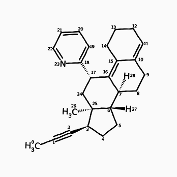 CC#C[C@@H]1CC[C@H]2[C@@H]3CCC4=CCCCC4=C3[C@@H](c3ccccn3)C[C@]12C